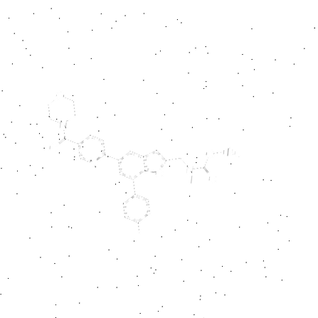 CC(C)(C)OC(=O)NCc1cc2cc(-c3ccc(C(=O)N4CCOCC4)cn3)cc(-c3ccc(F)cc3)c2o1